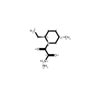 CC[C@H]1CC[C@H](C)CN1C(=O)C(N)=O.N